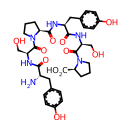 N[C@@H](Cc1ccc(O)cc1)C(=O)N[C@@H](CO)C(=O)N1CCC[C@H]1C(=O)N[C@@H](Cc1ccc(O)cc1)C(=O)N[C@@H](CO)C(=O)N1CCC[C@H]1C(=O)O